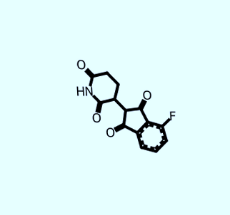 O=C1CCC(C2C(=O)c3cccc(F)c3C2=O)C(=O)N1